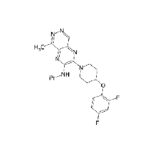 Cc1nncc2nc(N3CCC(Oc4ccc(F)cc4F)CC3)c(NC(C)C)nc12